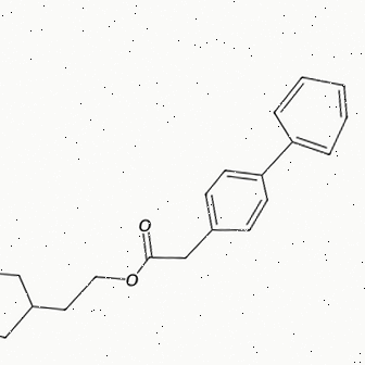 O=C(Cc1ccc(-c2ccccc2)cc1)OCCC1CCCCC1